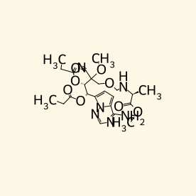 CCC(=O)O[C@@H](c1ccc2c(N)ncnn12)[C@H](OC(=O)CC)C(C#N)(COCN[C@@H](C)C(=O)OC)OC